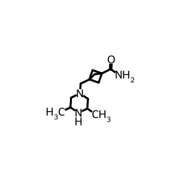 CC1CN(CC23CC(C(N)=O)(C2)C3)CC(C)N1